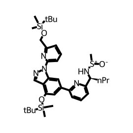 CCC[C@H](N[S+](C)[O-])c1cccc(-c2cc(O[Si](C)(C)C(C)(C)C)c3cnn(-c4cccc(CO[Si](C)(C)C(C)(C)C)n4)c3c2)n1